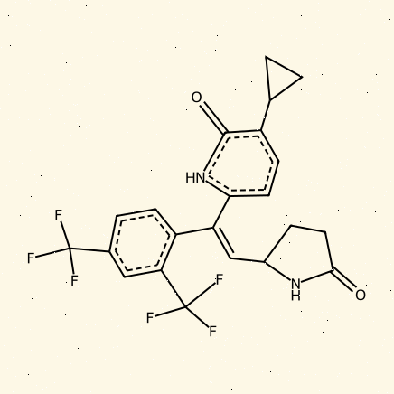 O=C1CCC(/C=C(\c2ccc(C3CC3)c(=O)[nH]2)c2ccc(C(F)(F)F)cc2C(F)(F)F)N1